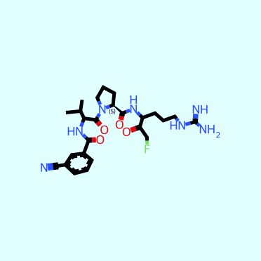 CC(C)C(NC(=O)c1cccc(C#N)c1)C(=O)N1CCC[C@H]1C(=O)NC(CCCNC(=N)N)C(=O)CF